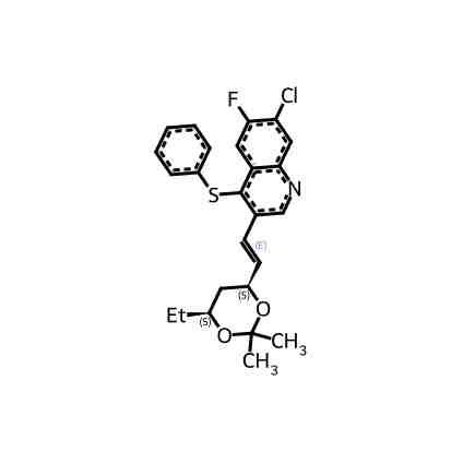 CC[C@H]1C[C@@H](/C=C/c2cnc3cc(Cl)c(F)cc3c2Sc2ccccc2)OC(C)(C)O1